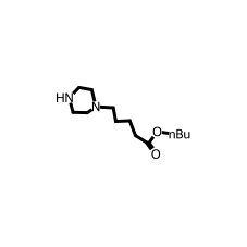 CCCCOC(=O)CCCCN1CCNCC1